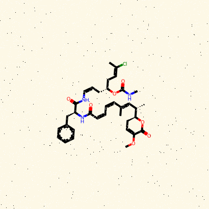 CNC(=O)O[C@H](C/C=C\NC(=O)[C@H](Cc1ccccc1)NC(=O)\C=C/C=C\C(C)=C\[C@H](C)[C@@H]1CC=C(OC)C(=O)O1)C/C=C(\C)Cl